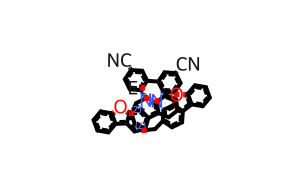 CCC1/C=C\C=C/Cc2ccc3c(oc4ccccc43)c2N1c1ccc(C#N)cc1-c1cc(C#N)ccc1-n1c2c(c3ccc4c5ccccc5oc4c31)CCC=C2